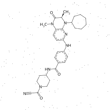 C[C@@H]1C(=O)N(C)c2ccc(Nc3ccc(C(=O)NC4CCN(C(=O)C#N)CC4)cc3)nc2N1C1CCCCCC1